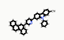 N#Cc1ccc2c3ccc(-c4ccc(-c5cc6c7ccccc7ccc6c6ccccc56)cn4)cc3n(-c3ccccc3)c2c1